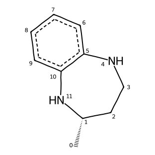 C[C@H]1CCNc2ccccc2N1